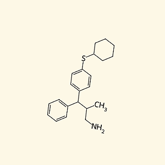 CC(CN)C(c1ccccc1)c1ccc(SC2CCCCC2)cc1